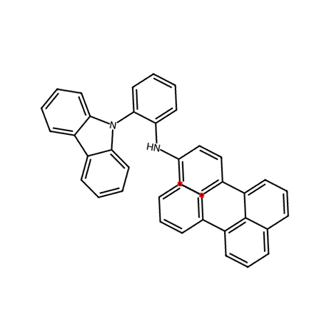 c1ccc(-c2cccc3cccc(-c4ccc(Nc5ccccc5-n5c6ccccc6c6ccccc65)cc4)c23)cc1